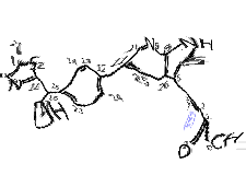 CC(=O)/C=C/c1c[nH]c2ncc(-c3ccc(C(O)c4nccs4)cc3)cc12